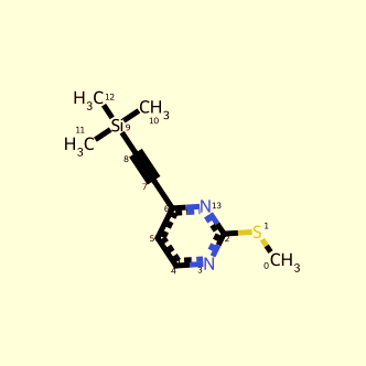 CSc1nccc(C#C[Si](C)(C)C)n1